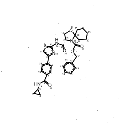 O=C(NC1CC1)c1ccc(-c2csc(NC(=O)[C@@H]3CSC4(CCCCC4)N3C(=O)OCc3ccccc3)n2)cc1